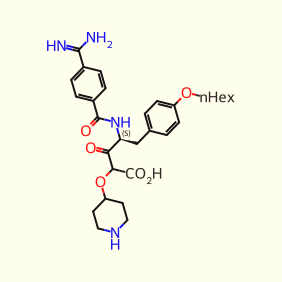 CCCCCCOc1ccc(C[C@H](NC(=O)c2ccc(C(=N)N)cc2)C(=O)C(OC2CCNCC2)C(=O)O)cc1